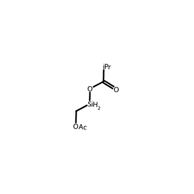 CC(=O)OC[SiH2]OC(=O)C(C)C